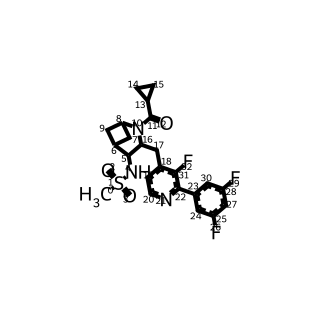 CS(=O)(=O)NC1C2CC(C2)N(C(=O)C2CC2)C1Cc1ccnc(-c2cc(F)cc(F)c2)c1F